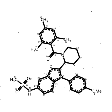 COc1ccc(-n2c(C3CCCCN3C(=O)c3c(C)cc(C)cc3C)nc3cc(NS(C)(=O)=O)ccc32)cc1